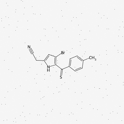 Cc1ccc(C(=S)c2[nH]c(CC#N)cc2Br)cc1